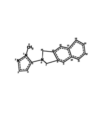 Cn1nccc1N1Cc2cc3ccccc3cc2C1